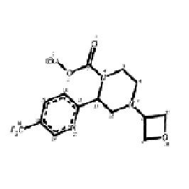 CC(C)(C)OC(=O)N1CCN(C2COC2)CC1c1ccc(C(F)(F)F)cn1